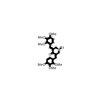 CCN1CC(=Cc2ccc(OC)c(OC)c2OC)C(=O)C(=Cc2ccc(OC)c(OC)c2OC)C1